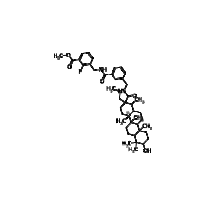 CCCC1(C(=O)NCc2cccc(C(=O)NCc3cccc(C(=O)OC)c3F)c2)CC[C@]2(C)C(CCC3C4(C)CCC(O)C(C)(C)C4CCC32C)C1C